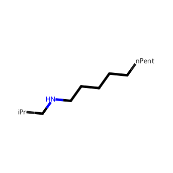 CCCCCCCCCCNCC(C)C